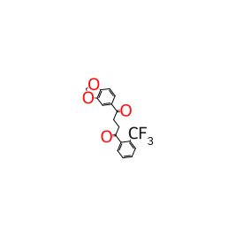 O=C(CCC(=O)c1ccccc1C(F)(F)F)c1ccc2c(c1)OCO2